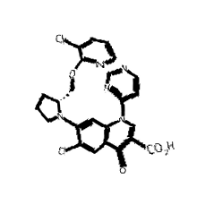 O=C(O)c1cn(-c2ccncn2)c2cc(N3CCC[C@@H]3COc3ncccc3Cl)c(Cl)cc2c1=O